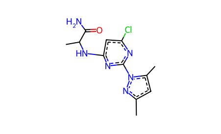 Cc1cc(C)n(-c2nc(Cl)cc(NC(C)C(N)=O)n2)n1